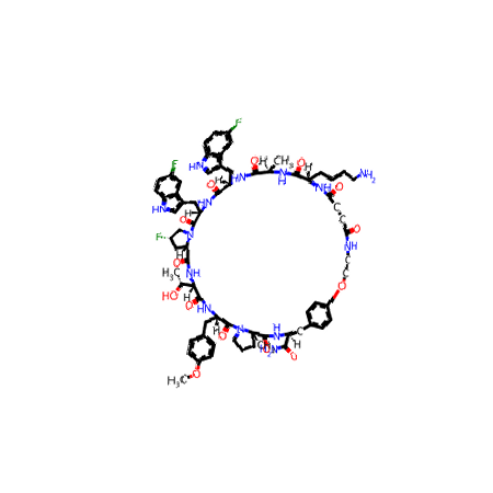 COc1ccc(C[C@@H]2NC(=O)[C@H]([C@@H](C)O)NC(=O)[C@@H]3C[C@H](F)CN3C(=O)[C@H](Cc3c[nH]c4ccc(F)cc34)NC(=O)[C@H](Cc3c[nH]c4ccc(F)cc34)NC(=O)[C@@H](C)NC(=O)[C@H](CCCCN)NC(=O)CCC(=O)NCCOc3ccc(cc3)C[C@@H](C(N)=O)NC(=O)[C@]3(C)CCCN3C2=O)cc1